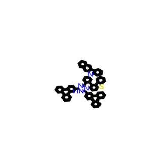 c1ccc2cc3c(cc2c1)c1ccccc1n3-c1ccc(C2=NC(c3ccc4c5ccccc5c5ccccc5c4c3)NC(c3ccc4c5ccccc5c5ccccc5c4c3)=N2)c(-c2cccc3sc4ccccc4c23)c1